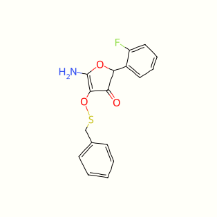 NC1=C(OSCc2ccccc2)C(=O)C(c2ccccc2F)O1